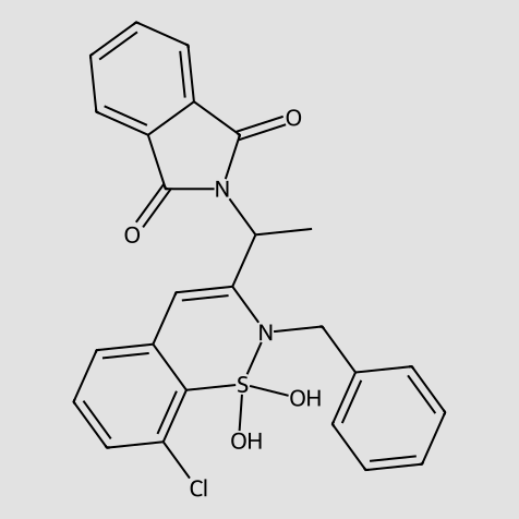 CC(C1=Cc2cccc(Cl)c2S(O)(O)N1Cc1ccccc1)N1C(=O)c2ccccc2C1=O